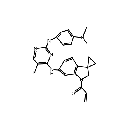 C=CC(=O)N1CC2(CC2)c2ccc(Nc3nc(Nc4ccc(N(C)C)cc4)ncc3F)cc21